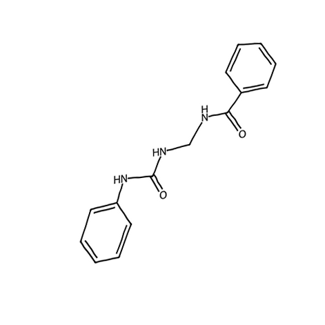 O=C(NCNC(=O)c1ccccc1)Nc1ccccc1